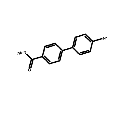 CNC(=O)c1ccc(-c2ccc(C(C)C)cc2)cc1